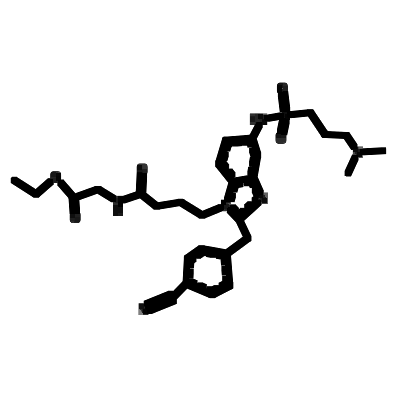 CCOC(=O)CNC(=O)CCCn1c(Cc2ccc(C#N)cc2)nc2cc(NS(=O)(=O)CCCN(C)C)ccc21